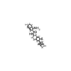 Cc1ccc2c(N)c(C(=O)N[C@@H]3CCc4cc(N5CC6CCC(C5)N6)c(F)cc4C3)sc2n1